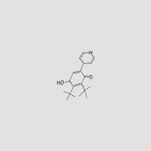 CC(C)(C)C1=C(C(C)(C)C)C(O)C=C(c2ccncc2)C1=O